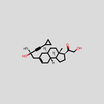 CCC[C@@](O)(C#CC1CC1)CC1=CC[C@@H]2[C@H](CC[C@]3(C)[C@@H](C(=O)CO)CC[C@@H]23)C1